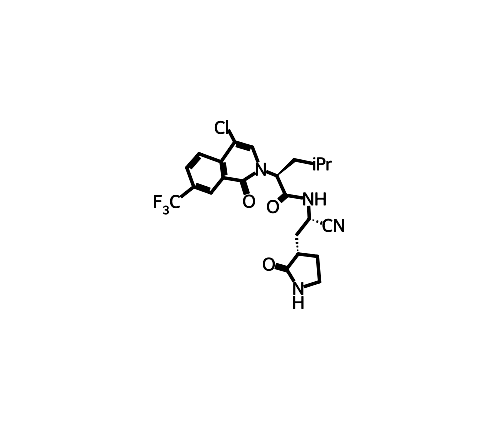 CC(C)C[C@@H](C(=O)N[C@H](C#N)C[C@@H]1CCNC1=O)n1cc(Cl)c2ccc(C(F)(F)F)cc2c1=O